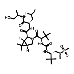 CC(CO)NC(=O)[C@H](CC(F)F)NC(=O)[C@@H]1[C@@H]2[C@H](CN1C(=O)[C@@H](NC(=O)N[C@H](CN(C)S(C)(=O)=O)C(C)(C)C)C(C)(C)C)C2(C)C